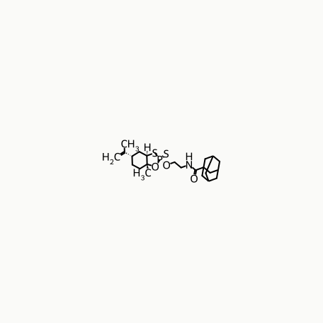 C=C(C)[C@H]1CC[C@@]2(C)OP(=S)(OCCNC(=O)C34CC5CC(CC(C5)C3)C4)S[C@@H]2C1